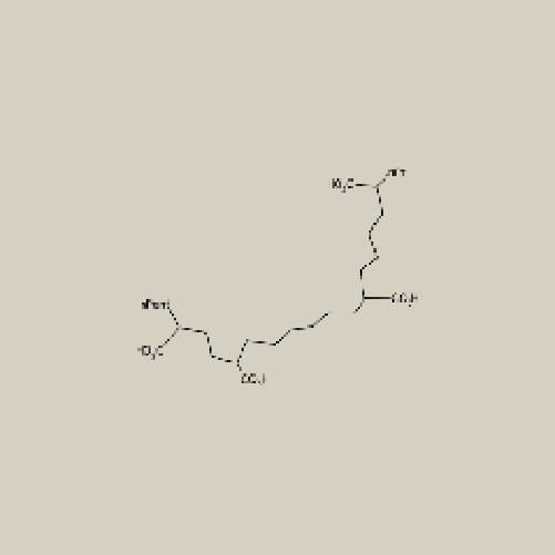 CCCCCC(CCC(CCCCCCC(CCCCC(CCC)C(=O)O)C(=O)O)C(=O)O)C(=O)O